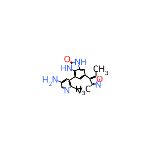 Cc1noc(C)c1-c1cc(-c2cc(N)cnc2C2CC2)c2[nH]c(=O)[nH]c2c1